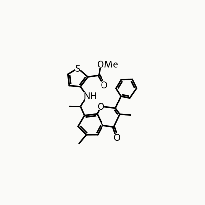 COC(=O)c1sccc1NC(C)c1cc(C)cc2c(=O)c(C)c(-c3ccccc3)oc12